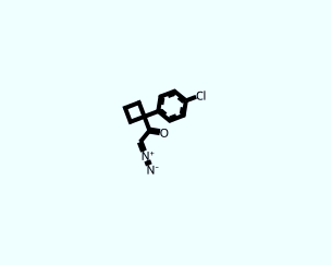 [N-]=[N+]=CC(=O)C1(c2ccc(Cl)cc2)CCC1